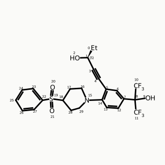 CC[C@H](O)C#Cc1cc(C(O)(C(F)(F)F)C(F)(F)F)ccc1N1CCC(S(=O)(=O)c2ccccc2)CC1